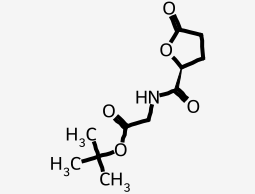 CC(C)(C)OC(=O)CNC(=O)[C@@H]1CCC(=O)O1